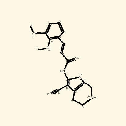 COc1cccc(C=CC(=O)Nc2sc3c(c2C#N)CCNC3)c1OC